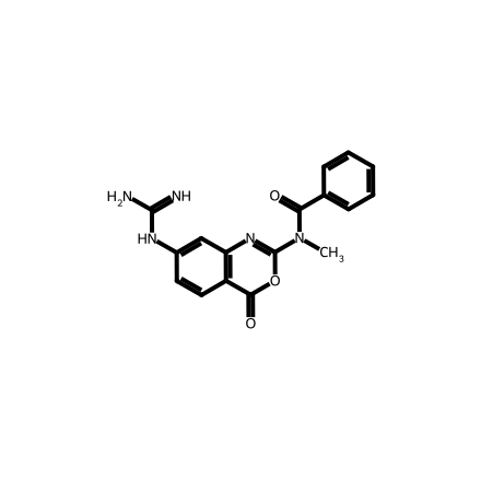 CN(C(=O)c1ccccc1)c1nc2cc(NC(=N)N)ccc2c(=O)o1